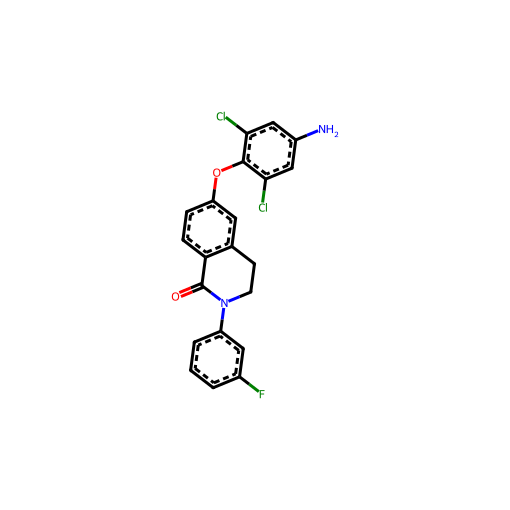 Nc1cc(Cl)c(Oc2ccc3c(c2)CCN(c2cccc(F)c2)C3=O)c(Cl)c1